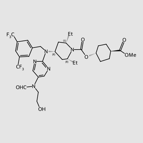 CC[C@@H]1C[C@H](N(Cc2cc(C(F)(F)F)cc(C(F)(F)F)c2)c2ncc(N(C=O)CCO)cn2)C[C@H](CC)N1C(=O)O[C@H]1CC[C@H](C(=O)OC)CC1